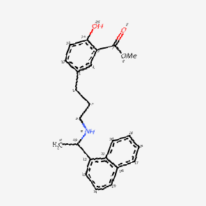 COC(=O)c1cc(CCCNC(C)c2cccc3ccccc23)ccc1O